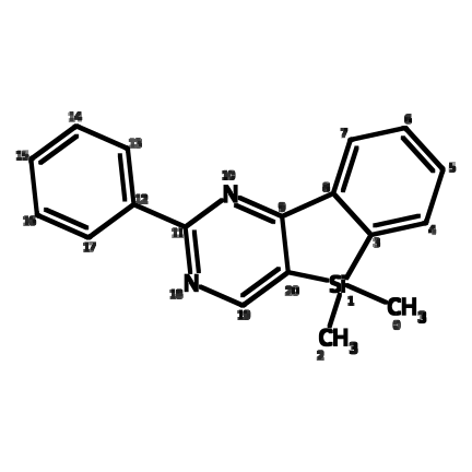 C[Si]1(C)c2ccccc2-c2nc(-c3ccccc3)ncc21